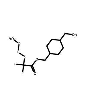 O=C(OCC1CCC(CO)CC1)C(F)(F)SOOO